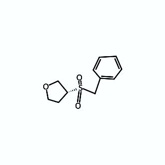 O=S(=O)(Cc1ccccc1)[C@@H]1CCOC1